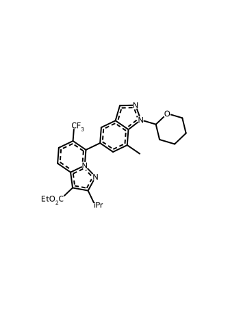 CCOC(=O)c1c(C(C)C)nn2c(-c3cc(C)c4c(cnn4C4CCCCO4)c3)c(C(F)(F)F)ccc12